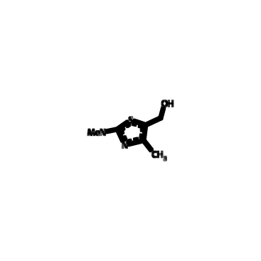 CNc1nc(C)c(CO)s1